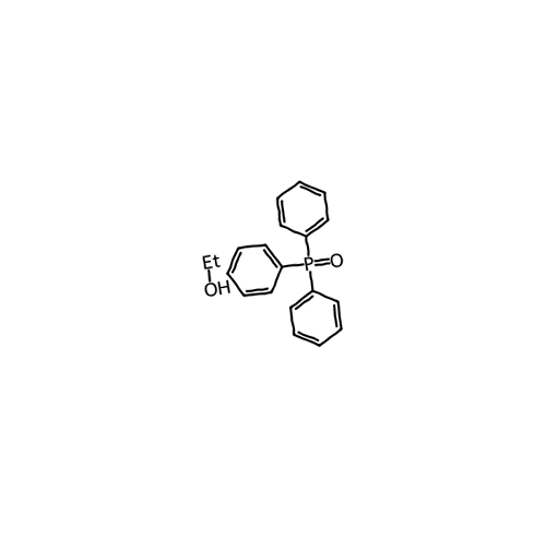 CCO.O=P(c1ccccc1)(c1ccccc1)c1ccccc1